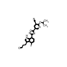 CC(C)Oc1ncc(-c2nc(-c3ccc(F)c4c(CCC=O)c[nH]c34)no2)cc1C#N